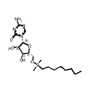 CCCCCCCC[Si](C)(C)OC[C@H]1O[C@@H](n2cnc(N)nc2=O)[C@H](O)[C@@H]1O